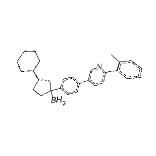 BC1(c2ccc(-c3ccc(-c4ccccc4C)nc3)cc2)CCC(C2CCCCC2)C1